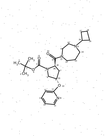 CC(C)(C)OC(=O)N1C[C@@H](Oc2ccccn2)C[C@@H]1C(=O)N1CCCN(C2CCC2)CC1